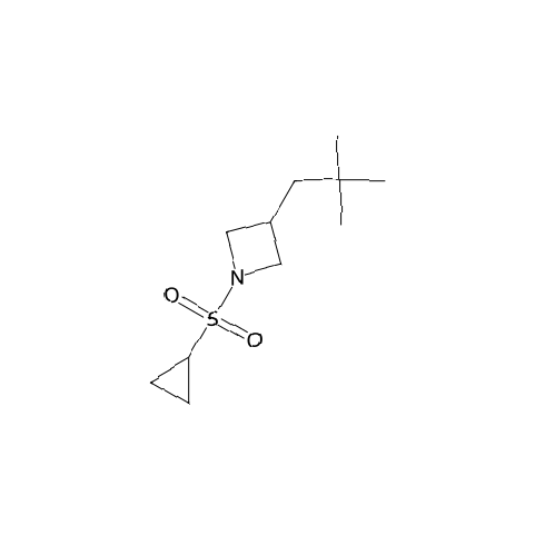 CC(C)(C)CC1CN(S(=O)(=O)C2CC2)C1